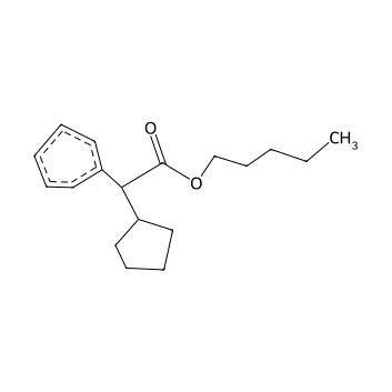 CCCCCOC(=O)C(c1ccccc1)C1CCCC1